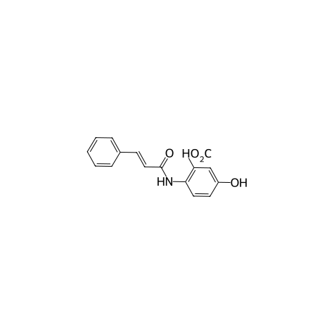 O=C(C=Cc1ccccc1)Nc1ccc(O)cc1C(=O)O